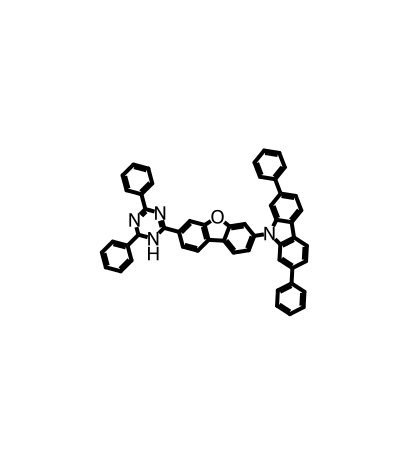 c1ccc(C2=NC(c3ccccc3)NC(c3ccc4c(c3)oc3cc(-n5c6cc(-c7ccccc7)ccc6c6ccc(-c7ccccc7)cc65)ccc34)=N2)cc1